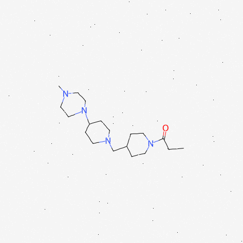 CCC(=O)N1CCC(CN2CCC(N3CCN(C)CC3)CC2)CC1